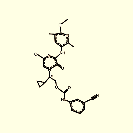 COc1nc(C)c(Nc2nc(Cl)cn([C@@H](COC(=O)Nc3cccc(C#N)c3)C3CC3)c2=O)cc1C